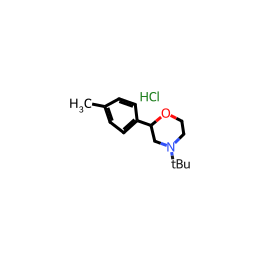 Cc1ccc(C2CN(C(C)(C)C)CCO2)cc1.Cl